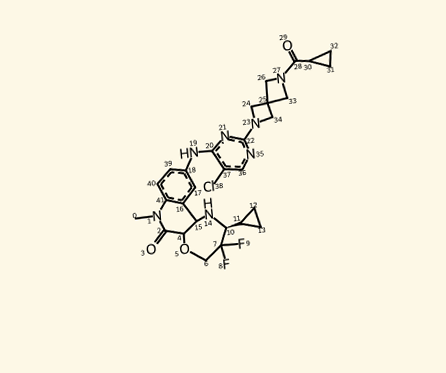 CN1C(=O)C2OCC(F)(F)[C@H](C3CC3)NC2c2cc(Nc3nc(N4CC5(CN(C(=O)C6CC6)C5)C4)ncc3Cl)ccc21